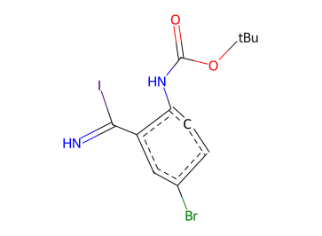 CC(C)(C)OC(=O)Nc1ccc(Br)cc1C(=N)I